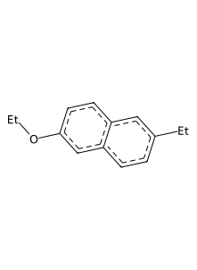 CCOc1ccc2cc(CC)ccc2c1